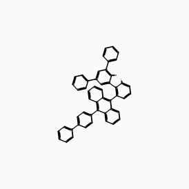 c1ccc(-c2ccc(-c3c4ccccc4c(-c4cccc5oc6c(-c7ccccc7)cc(-c7ccccc7)cc6c45)c4ccccc34)cc2)cc1